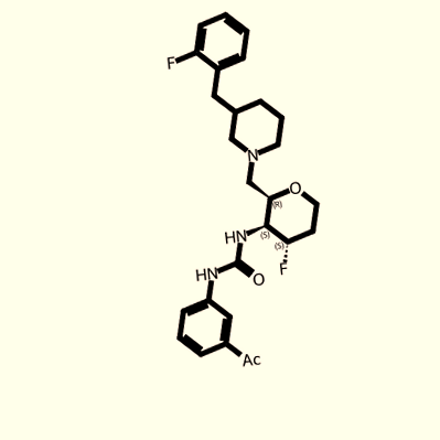 CC(=O)c1cccc(NC(=O)N[C@@H]2[C@@H](F)CCO[C@@H]2CN2CCCC(Cc3ccccc3F)C2)c1